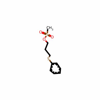 CS(=O)(=O)OCCCSc1ccccc1